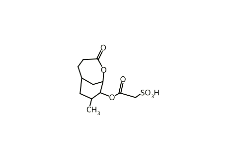 CC1CC2CCC(=O)OC(C2)C1OC(=O)CS(=O)(=O)O